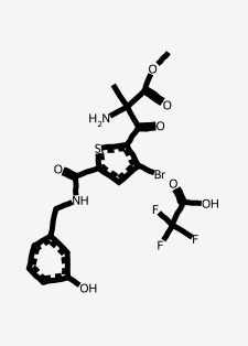 COC(=O)C(C)(N)C(=O)c1sc(C(=O)NCc2cccc(O)c2)cc1Br.O=C(O)C(F)(F)F